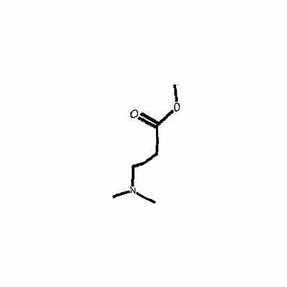 [CH2]OC(=O)CCN(C)C